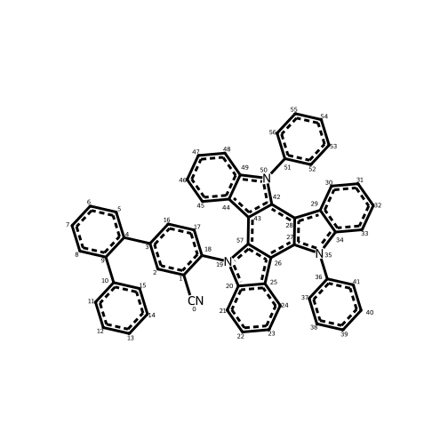 N#Cc1cc(-c2ccccc2-c2ccccc2)ccc1-n1c2ccccc2c2c3c(c4ccccc4n3-c3ccccc3)c3c(c4ccccc4n3-c3ccccc3)c21